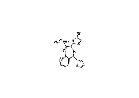 CNC1=Nc2ncccc2C(c2cccs2)=NC1c1cc(Br)cs1